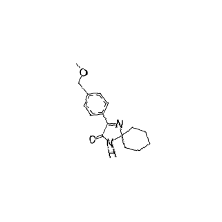 COCc1ccc(C2=NC3(CCCCC3)NC2=O)cc1